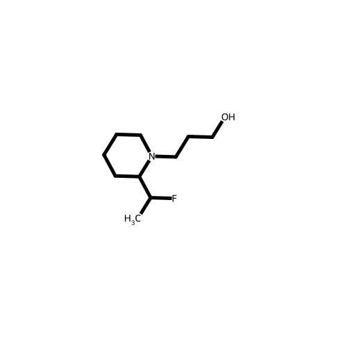 CC(F)C1CCCCN1CCCO